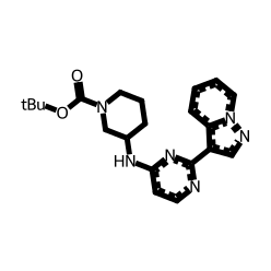 CC(C)(C)OC(=O)N1CCCC(Nc2ccnc(-c3cnn4ccccc34)n2)C1